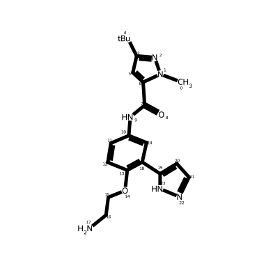 Cn1nc(C(C)(C)C)cc1C(=O)Nc1ccc(OCCN)c(-c2ccn[nH]2)c1